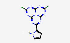 Cn1cccc1C1=NC2=NC(Cl)=NC3=NC(Cl)=NC(=N1)N32